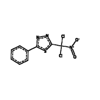 O=[N+]([O-])C(Cl)(Cl)c1nnc(-c2ccccc2)s1